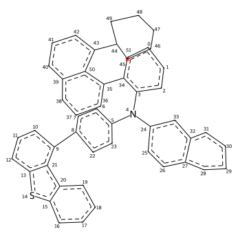 c1ccc(N(c2ccc(-c3cccc4sc5ccccc5c34)cc2)c2ccc3ccccc3c2)c(-c2cccc3cccc(C4CCCCC4)c23)c1